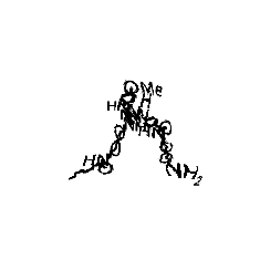 C=C/C=C\C=C/CC(=O)NCCOCCOCCNc1nc(Nc2ccc(OC)cc2)nc(Nc2ccc(C(=O)NCCOCCOCCN)cc2)n1